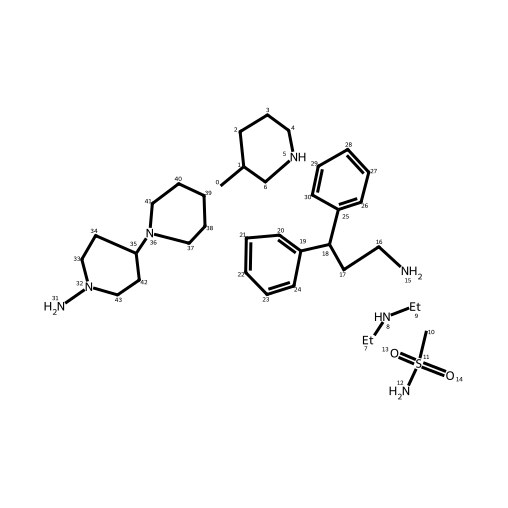 CC1CCCNC1.CCNCC.CS(N)(=O)=O.NCCC(c1ccccc1)c1ccccc1.NN1CCC(N2CCCCC2)CC1